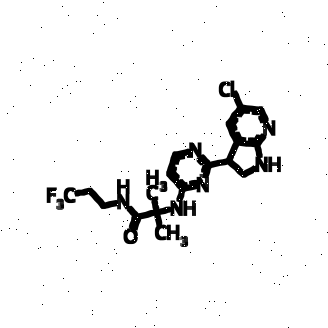 CC(C)(Nc1ccnc(C2CNc3ncc(Cl)cc32)n1)C(=O)NCCC(F)(F)F